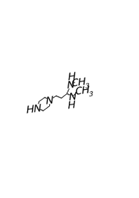 CNC(CCN1CCNCC1)NC